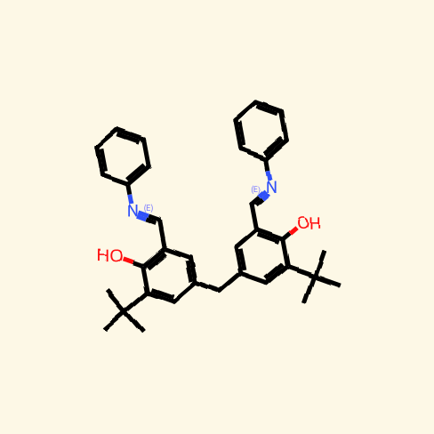 CC(C)(C)c1cc(Cc2cc(/C=N/c3ccccc3)c(O)c(C(C)(C)C)c2)cc(/C=N/c2ccccc2)c1O